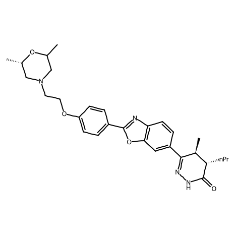 CCC[C@@H]1C(=O)NN=C(c2ccc3nc(-c4ccc(OCCN5CC(C)O[C@@H](C)C5)cc4)oc3c2)[C@H]1C